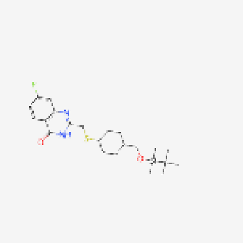 CC(C)(C)[Si](C)(C)OCC1CCC(SCc2nc3cc(F)ccc3c(=O)[nH]2)CC1